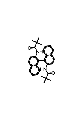 CC(C)(C)C(=O)Nc1ccc2ccccc2c1-c1c(NC(=O)C(C)(C)C)ccc2ccccc12